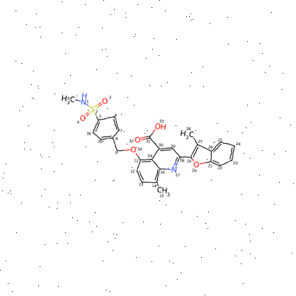 CNS(=O)(=O)c1ccc(COc2ccc(C)c3nc(-c4oc5ccccc5c4C)cc(C(=O)O)c23)cc1